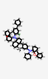 C[Si]1(C)c2cc(N(c3ccccc3)c3cccc4c3oc3ccccc34)ccc2-c2ccc(N(c3ccccc3)c3c(F)cc(-c4ccccc4)cc3-c3ccccc3)c3cccc1c23